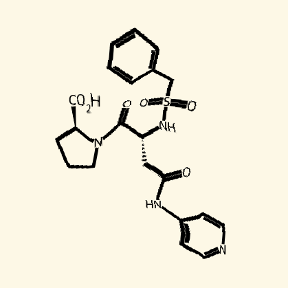 O=C(C[C@@H](NS(=O)(=O)Cc1ccccc1)C(=O)N1CCC[C@H]1C(=O)O)Nc1ccncc1